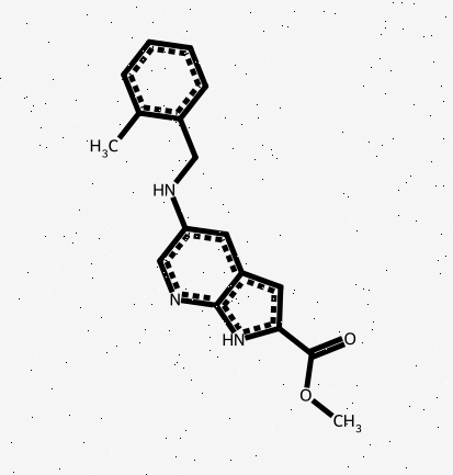 COC(=O)c1cc2cc(NCc3ccccc3C)cnc2[nH]1